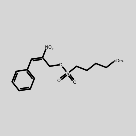 CCCCCCCCCCCCCCS(=O)(=O)OCC(=Cc1ccccc1)[N+](=O)[O-]